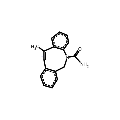 C/C1=C/c2ccccc2CN(C(N)=O)c2ccccc21